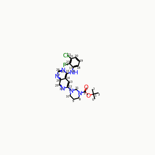 CC(C)(C)OC(=O)N1CCCN(c2cc3c(Nc4cccc(Cl)c4F)ncnc3cn2)C1